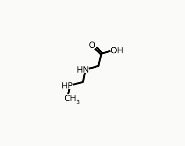 CPCNCC(=O)O